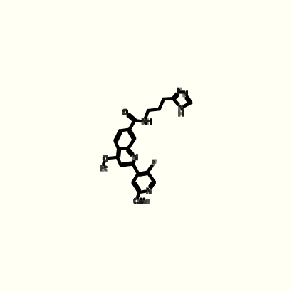 CCOc1cc(-c2cc(OC)ncc2F)nc2cc(C(=O)NCCCc3nnc[nH]3)ccc12